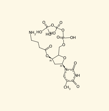 Cc1cn([C@H]2C[C@@H](OC(=O)CCCN)C(COP(=O)(O)OP(=O)(O)OP(=O)(O)O)O2)c(=O)[nH]c1=O